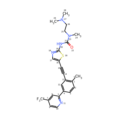 Cc1ccc(-c2cc(C(F)(F)F)ccn2)cc1C#Cc1cnc(NC(=O)N(C)CCN(C)C)s1